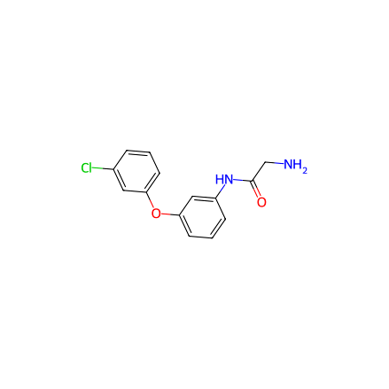 NCC(=O)Nc1cccc(Oc2cccc(Cl)c2)c1